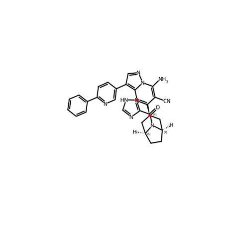 N#Cc1c([C@H]2C[C@H]3CC[C@@H](C2)N3C(=O)c2nc[nH]n2)nc2c(-c3ccc(-c4ccccc4)nc3)cnn2c1N